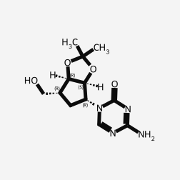 CC1(C)O[C@@H]2[C@@H](CO)C[C@@H](n3cnc(N)nc3=O)[C@@H]2O1